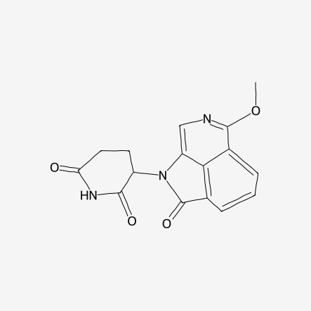 COc1ncc2c3c(cccc13)C(=O)N2C1CCC(=O)NC1=O